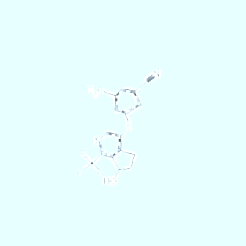 Cc1cc(C#N)cc(Oc2cnc(C(F)(F)F)c3c2CCC3O)c1